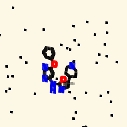 CN1CCC([C@@]2(C)CN=C(Nc3cc(Oc4ccccc4)ncn3)O2)CC1